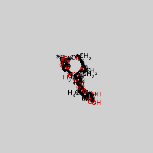 C=C1CC2CC[C@]34C[C@H]5OC6(O3)C3C(OC7CCC(CC(=O)OC8C(CC9OC(CCC1O2)C[C@@H](C)C9=C)O[C@H]1C[C@H]2O[C@@]9(CC%10OC%11(C[C@H](C)C%10O9)C[C@H](C)[C@@H]9OC(CC(=O)O)[C@H](O)CC9O%11)C[C@H]2O[C@H]1[C@@H]8C)O[C@@H]7C3O4)C56